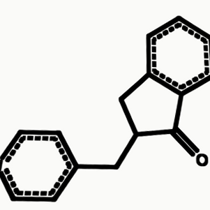 O=C1c2ccccc2CC1Cc1ccncc1